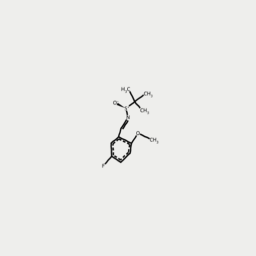 COc1ccc(F)cc1C=N[S@@+]([O-])C(C)(C)C